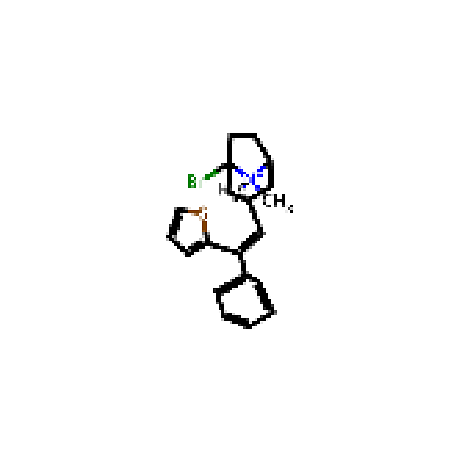 C[N+]1(C)C2CCC1(Br)CC(C=C(c1ccccc1)c1cccs1)C2